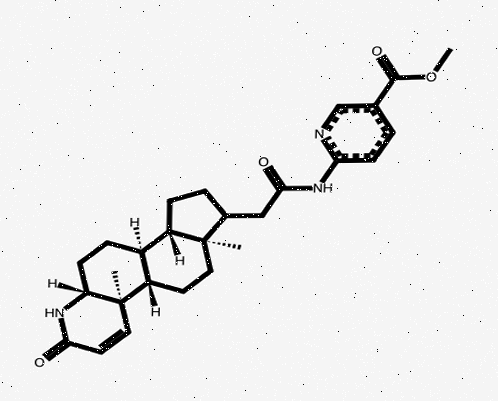 COC(=O)c1ccc(NC(=O)CC2CC[C@H]3[C@@H]4CC[C@H]5NC(=O)C=C[C@]5(C)[C@H]4CC[C@]23C)nc1